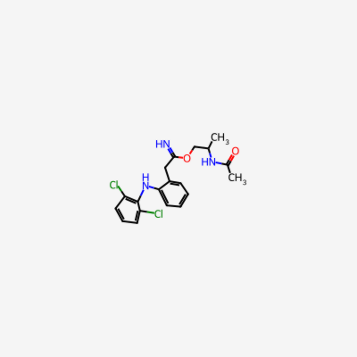 CC(=O)NC(C)COC(=N)Cc1ccccc1Nc1c(Cl)cccc1Cl